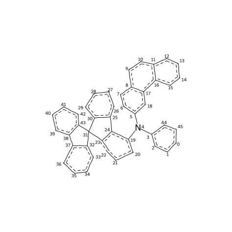 c1ccc(N(c2ccc3ccc4ccccc4c3c2)c2cccc3c2-c2ccccc2C32c3ccccc3-c3ccccc32)cc1